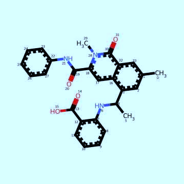 Cc1cc(C(C)Nc2ccccc2C(=O)O)c2cc(C(=O)Nc3ccccc3)n(C)c(=O)c2c1